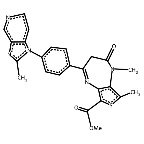 COC(=O)c1sc(C)c2c1N=C(c1ccc(-n3c(C)nc4cnccc43)cc1)CC(=O)N2C